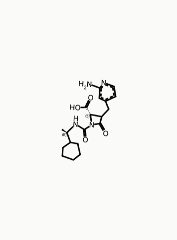 C[C@@H](NC(=O)N1C(=O)C(Cc2ccnc(N)c2)[C@H]1C(=O)O)C1CCCCC1